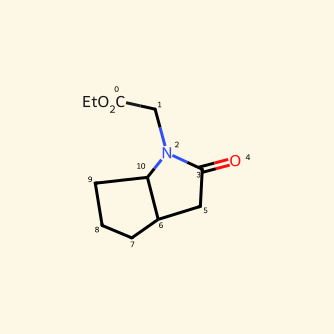 CCOC(=O)CN1C(=O)CC2CCCC21